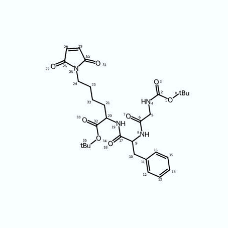 CC(C)(C)OC(=O)NCC(=O)NC(Cc1ccccc1)C(=O)NC(CCCCN1C(=O)C=CC1=O)C(=O)OC(C)(C)C